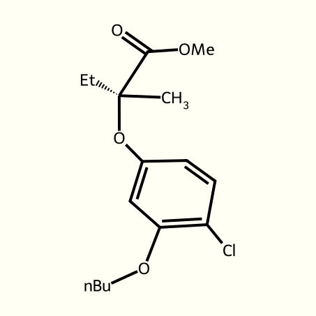 CCCCOc1cc(O[C@@](C)(CC)C(=O)OC)ccc1Cl